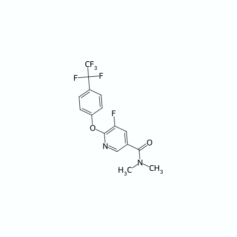 CN(C)C(=O)c1cnc(Oc2ccc(C(F)(F)C(F)(F)F)cc2)c(F)c1